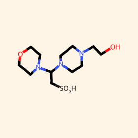 O=S(=O)(O)CC(N1CCOCC1)N1CCN(CCO)CC1